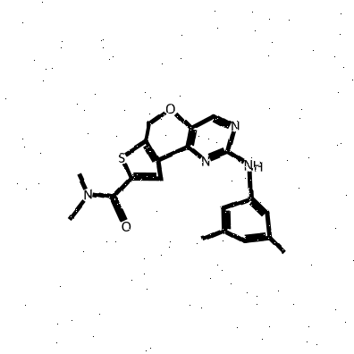 Cc1cc(C)cc(Nc2ncc3c(n2)-c2cc(C(=O)N(C)C)sc2CO3)c1